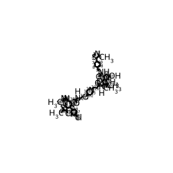 Cc1ncsc1-c1ccc(CNC(=O)[C@@H]2C[C@@H](O)CN2C(=O)C(NC(=O)CCN2CCC(OCCNC(=O)C[C@@H]3N=C(c4ccc(Cl)cc4)c4c(sc(C)c4C)-n4c(C)nnc43)CC2)C(C)(C)C)cc1